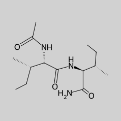 CC[C@H](C)[C@H](NC(=O)[C@@H](NC(C)=O)[C@@H](C)CC)C(N)=O